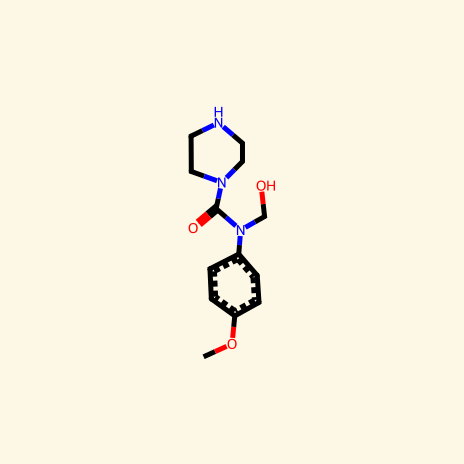 COc1ccc(N(CO)C(=O)N2CCNCC2)cc1